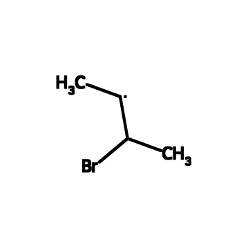 C[CH]C(C)Br